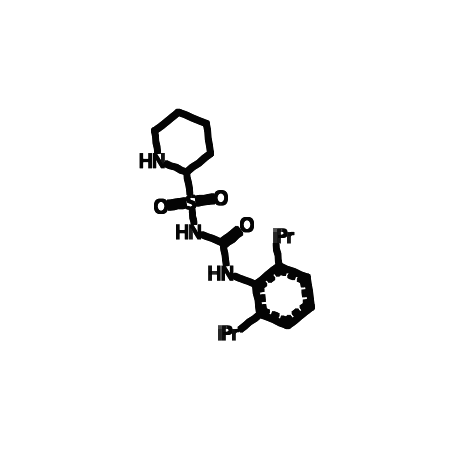 CC(C)c1cccc(C(C)C)c1NC(=O)NS(=O)(=O)C1CCCCN1